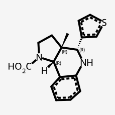 C[C@]12CCN(C(=O)O)[C@H]1c1ccccc1N[C@H]2c1ccsc1